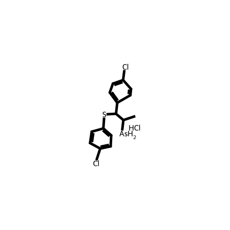 CC([AsH2])C(Sc1ccc(Cl)cc1)c1ccc(Cl)cc1.Cl